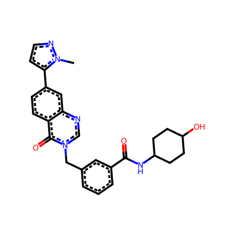 Cn1nccc1-c1ccc2c(=O)n(Cc3cccc(C(=O)NC4CCC(O)CC4)c3)cnc2c1